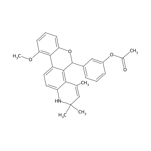 COc1cccc2c1-c1ccc3c(c1C(c1cccc(OC(C)=O)c1)O2)C(C)=CC(C)(C)N3